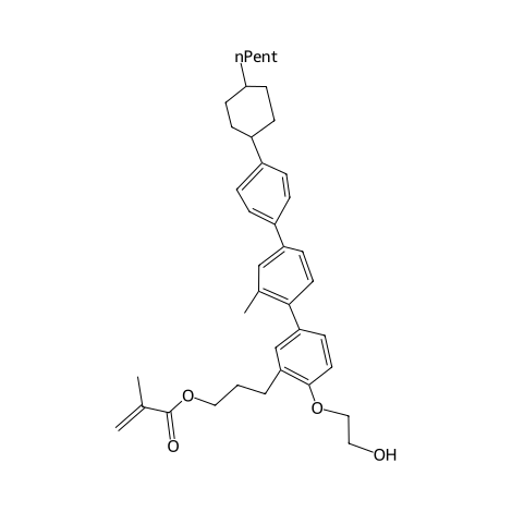 C=C(C)C(=O)OCCCc1cc(-c2ccc(-c3ccc(C4CCC(CCCCC)CC4)cc3)cc2C)ccc1OCCO